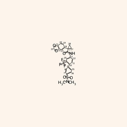 CN(C)S(=O)(=O)c1ccc(-c2ccc(NC(=O)C3(c4ccc5c(c4)OCO5)CC3)cc2C(F)(F)F)cc1